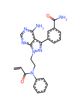 C=CC(=O)N(CCn1nc(-c2cccc(C(N)=O)c2)c2c(N)ncnc21)c1ccccc1